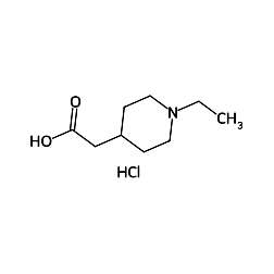 CCN1CCC(CC(=O)O)CC1.Cl